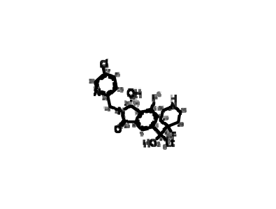 CCC(O)(c1cc(F)c2c(c1)C(=O)N(Cc1ccc(Cl)cn1)[C@@H]2O)C1(F)CCNCC1